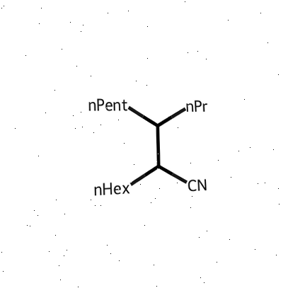 CCCCCCC(C#N)C(CCC)CCCCC